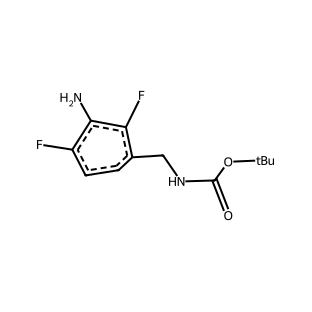 CC(C)(C)OC(=O)NCc1ccc(F)c(N)c1F